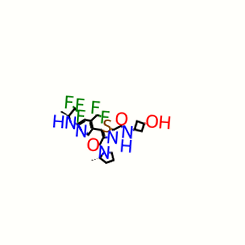 C[C@H](Nc1cc(C(F)F)c(-c2sc(C(=O)NC3CC(O)C3)nc2C(=O)N2CCC[C@@H]2C)cn1)C(F)(F)F